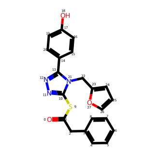 O=C(Cc1ccccc1)Sc1nnc(-c2ccc(O)cc2)n1Cc1ccco1